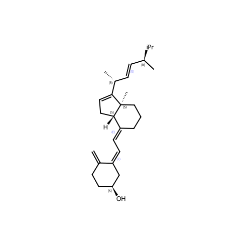 C=C1CC[C@H](O)C/C1=C/C=C1\CCC[C@]2(C)C([C@H](C)/C=C/[C@H](C)C(C)C)=CC[C@@H]12